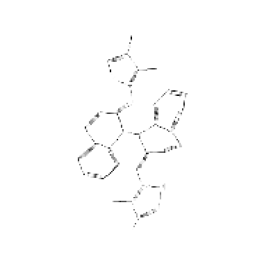 Cc1c[pH]c(C=C2C=Cc3ccccc3[C]2[C]2C(=Cc3[pH]cc(C)c3C)C=Cc3ccccc32)c1C